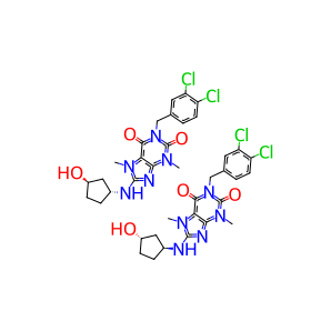 Cn1c(N[C@@H]2CC[C@@H](O)C2)nc2c1c(=O)n(Cc1ccc(Cl)c(Cl)c1)c(=O)n2C.Cn1c(N[C@H]2CC[C@H](O)C2)nc2c1c(=O)n(Cc1ccc(Cl)c(Cl)c1)c(=O)n2C